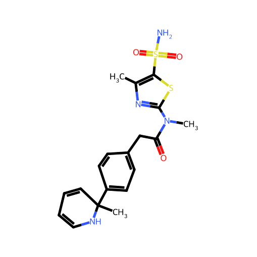 Cc1nc(N(C)C(=O)Cc2ccc(C3(C)C=CC=CN3)cc2)sc1S(N)(=O)=O